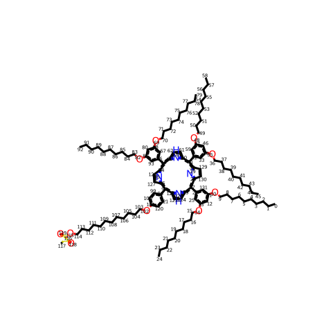 CCCCCCCCCCOc1cc(OCCCCCCCCCC)cc(-c2c3nc(c(-c4cc(OCCCCCCCCCC)cc(OCCCCCCCCCC)c4)c4ccc([nH]4)c(-c4cc(OCCCCCCCCCC)cc(OCCCCCCCCCC)c4)c4nc(c(-c5ccc(OCCCCCCCCCCCCOS(C)(=O)=O)cc5)c5ccc2[nH]5)C=C4)C=C3)c1